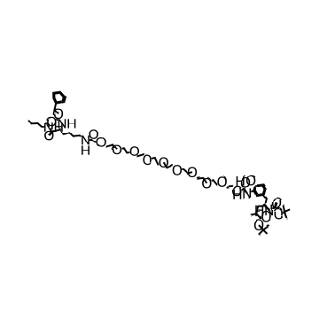 CCCCNC(=O)[C@H](CCCCNC(=O)COCCOCCOCCOCCOCCOCCOCCOCCOCCOC(=O)Nc1cc(CC(CC(C)C(=O)OC(C)(C)C)NC(=O)OC(C)(C)C)ccc1O)NC(=O)OCc1ccccc1